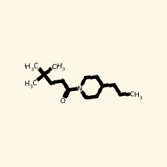 CCCC1CCN(C(=O)CCC(C)(C)C)CC1